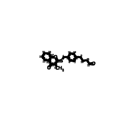 Cc1c(SCc2ccc(CCCC=O)cc2)oc2ccccc2c1=O